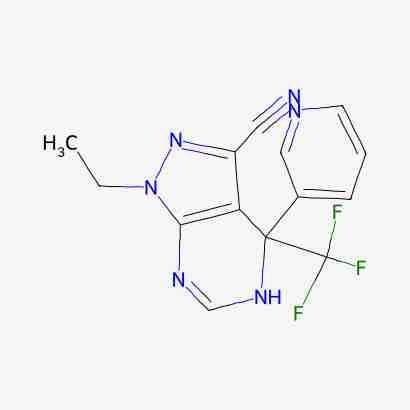 CCn1nc(C#N)c2c1N=CNC2(c1cccnc1)C(F)(F)F